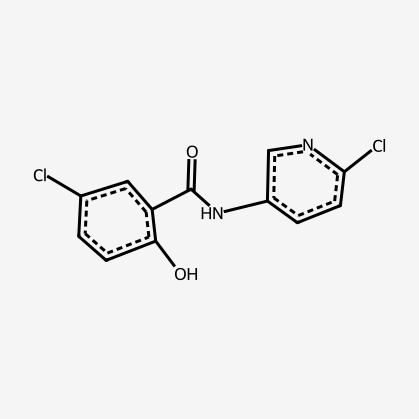 O=C(Nc1ccc(Cl)nc1)c1cc(Cl)ccc1O